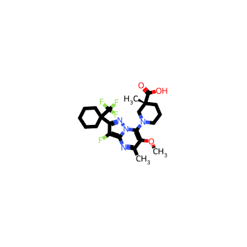 COc1c(C)nc2c(F)c(C3(C(F)(F)F)CCCCC3)nn2c1N1CCC[C@@](C)(C(=O)O)C1